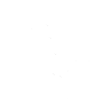 CC1CCCCN1S(=O)(=O)N1CCN(c2cnn(-c3cccc(Cl)c3)c(=O)c2OC2CCCC2)CC1